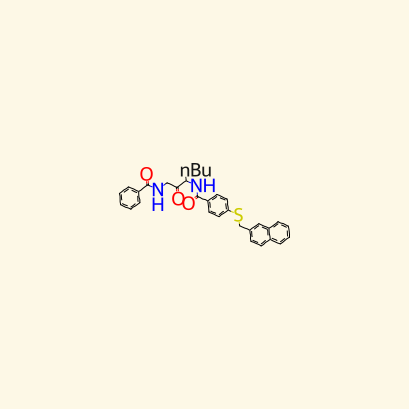 CCCCC(NC(=O)c1ccc(SCc2ccc3ccccc3c2)cc1)C(=O)CNC(=O)c1ccccc1